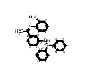 CC(=Nc1ccccc1C)c1cccc(NP(c2ccccc2)c2ccccc2)c1